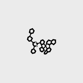 c1ccc(-c2cccc(-c3cc(-c4ccccc4)nc(-c4cccc5c4-c4ccccc4C54c5ccc6ccccc6c5-c5ccc6ccccc6c54)n3)c2)cc1